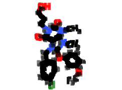 CN1c2c(c(=O)n(CCCO)c(=O)n2C)N(Cc2ccc(Cl)cc2)C1Oc1cccc(OC(F)(F)F)c1